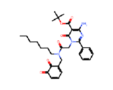 CCCCCCCN(CC1=CC=CC(=O)C1=O)C(=O)Cn1c(-c2ccccc2)nc(N)c(C(=O)OC(C)(C)C)c1=O